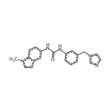 Cn1ccc2cc(NC(=O)Nc3cccc(Cn4ccnc4)c3)ccc21